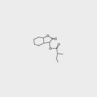 CCC(C)C(=O)OC1C(=O)OC2CCCCC21